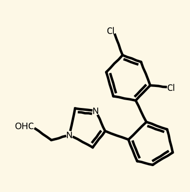 O=CCn1cnc(-c2ccccc2-c2ccc(Cl)cc2Cl)c1